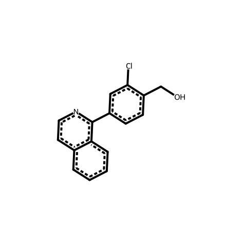 OCc1ccc(-c2nccc3ccccc23)cc1Cl